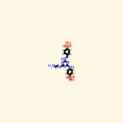 NCCNc1nc(NCc2ccc(S(=O)(=O)O)cc2)nc(Nc2ccc(S(=O)(=O)O)cc2)n1